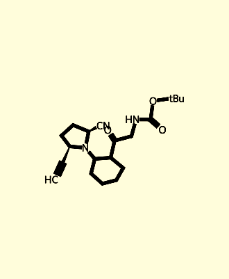 C#C[C@H]1CC[C@@H](C#N)N1C1CCCCC1C(=O)CNC(=O)OC(C)(C)C